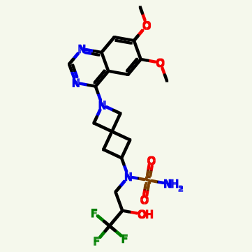 COc1cc2ncnc(N3CC4(CC(N(CC(O)C(F)(F)F)S(N)(=O)=O)C4)C3)c2cc1OC